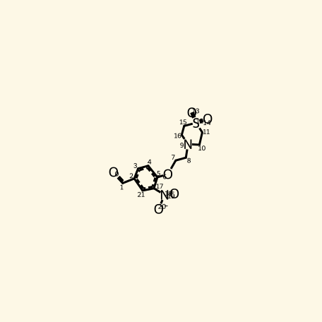 O=Cc1ccc(OCCN2CCS(=O)(=O)CC2)c([N+](=O)[O-])c1